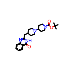 CC(C)(C)OC(=O)N1CCC(N2CCC(Cc3nc4ccccc4c(=O)[nH]3)CC2)CC1